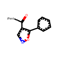 CCCC(C)C(=O)c1cnoc1-c1ccccc1